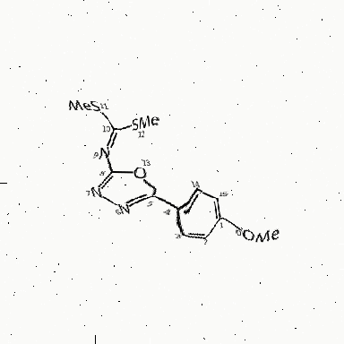 COc1ccc(-c2nnc(N=C(SC)SC)o2)cc1